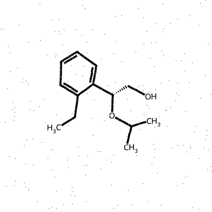 CCc1ccccc1[C@H](CO)OC(C)C